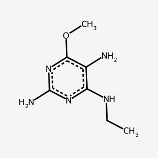 CCNc1nc(N)nc(OC)c1N